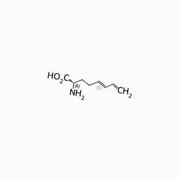 C=C/C=C/CC[C@@H](N)C(=O)O